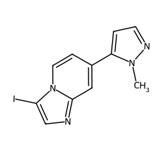 Cn1nccc1-c1ccn2c(I)cnc2c1